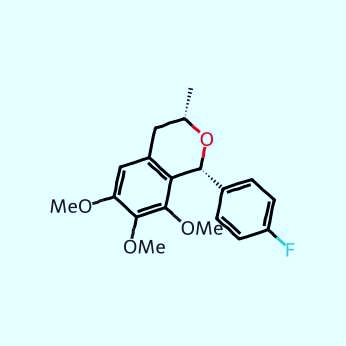 COc1cc2c(c(OC)c1OC)[C@@H](c1ccc(F)cc1)O[C@@H](C)C2